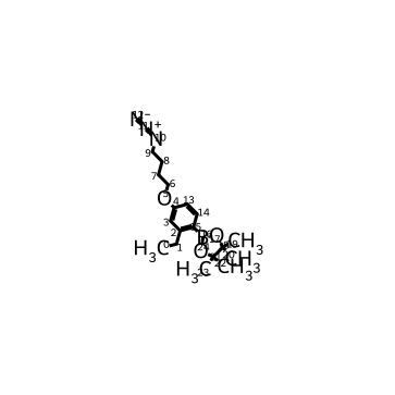 CCc1cc(OCCCCN=[N+]=[N-])ccc1B1OC(C)(C)C(C)(C)O1